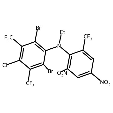 CCN(c1c([N+](=O)[O-])cc([N+](=O)[O-])cc1C(F)(F)F)c1c(Br)c(C(F)(F)F)c(Cl)c(C(F)(F)F)c1Br